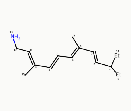 CCC(C=CC(C)=CC=CC(C)=CCN)CC